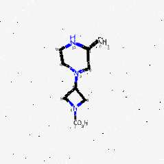 CC1CN(C2CN(C(=O)O)C2)CCN1